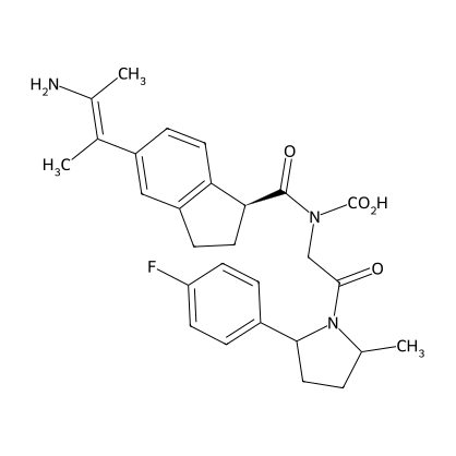 C/C(N)=C(/C)c1ccc2c(c1)CC[C@@H]2C(=O)N(CC(=O)N1C(C)CCC1c1ccc(F)cc1)C(=O)O